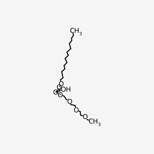 CCCCCCCCCCCCCCCOOP(=O)(O)OCCOCCOCCOCC